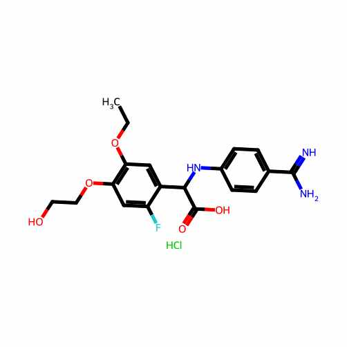 CCOc1cc(C(Nc2ccc(C(=N)N)cc2)C(=O)O)c(F)cc1OCCO.Cl